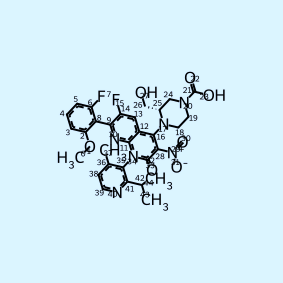 COc1cccc(F)c1-c1nc2c(cc1F)c(N1CCN(C(=O)O)C[C@H]1CO)c([N+](=O)[O-])c(=O)n2-c1c(C)ccnc1C(C)C